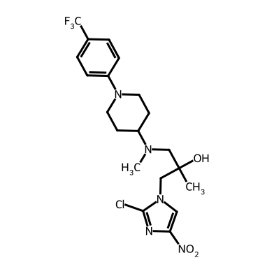 CN(CC(C)(O)Cn1cc([N+](=O)[O-])nc1Cl)C1CCN(c2ccc(C(F)(F)F)cc2)CC1